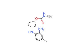 Cc1ccc(NC2CCC(OC(=O)NC(C)(C)C)C2)c(N)c1